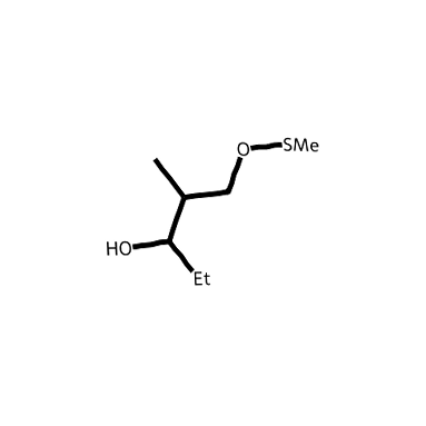 CCC(O)C(C)COSC